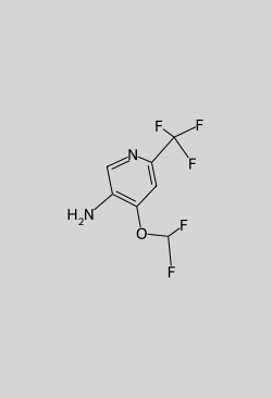 Nc1cnc(C(F)(F)F)cc1OC(F)F